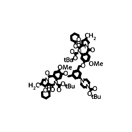 C=C1C[C@H]2C(OC3CCCCO3)N(C(=O)OC(C)(C)C)c3cc(OCc4cc(COc5cc6c(cc5OC)C(=O)N5CC(=C)C[C@H]5[C@H](OC5CCCCO5)N6C(=O)OC(C)(C)C)cc(N5CCN(C(=O)OC(C)(C)C)CC5)c4)c(OC)cc3C(=O)N2C1